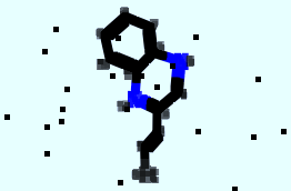 CCC=Cc1cnc2ccccc2n1